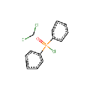 ClCCl.O=P(Cl)(c1ccccc1)c1ccccc1